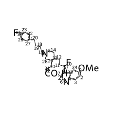 COc1ccc2nccc([C@@H](F)CCC3CCN(CCCCc4ccc(F)cc4)CC3CCC(=O)O)c2c1